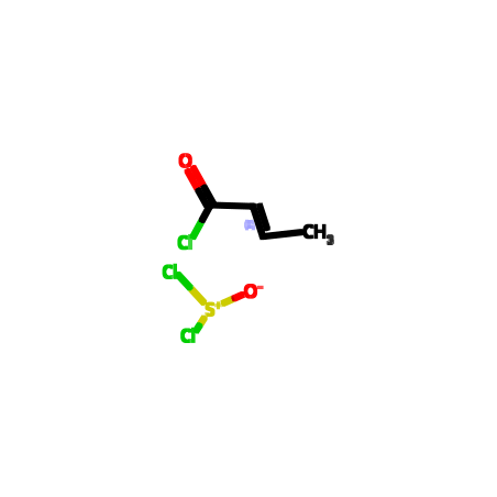 C/C=C/C(=O)Cl.[O-][S+](Cl)Cl